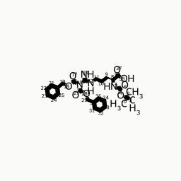 CC(C)(C)OC(=O)N[C@@H](CCCNC(=N)N(C(=O)OCc1ccccc1)C(=O)OCc1ccccc1)C(=O)O